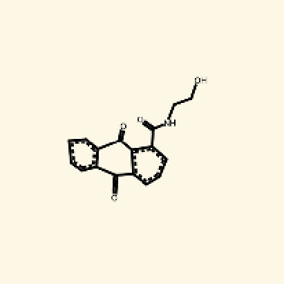 O=C(NCCO)c1cccc2c1C(=O)c1ccccc1C2=O